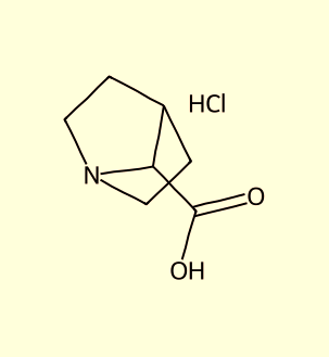 Cl.O=C(O)C1C2CCN1CC2